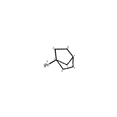 [CH2]C(C)C12CCC(CC1)C2